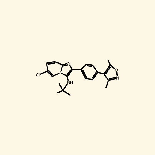 Cc1noc(C)c1-c1ccc(-c2nc3ccc(Cl)cn3c2NC(C)(C)C)cc1